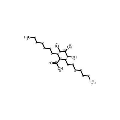 CCCCCCCCC(CCCCCCCC)C(=O)O.OCC(O)CO